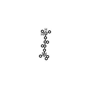 C1=C(c2ccc(-c3ccc(-c4ccc(-c5ccc(-c6nc(-c7ccccc7)nc(-c7cccc8ccccc78)n6)cc5)c5ccccc45)c4ccccc34)cc2)NC(c2ccccc2)NC1c1ccccc1